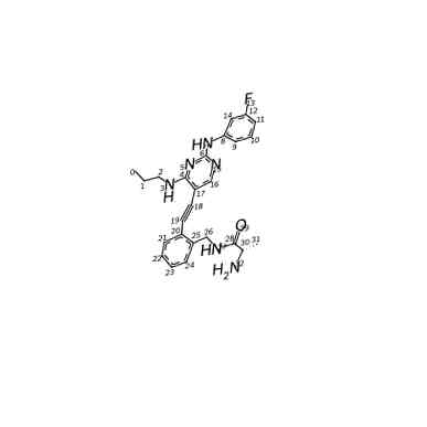 CCCNc1nc(Nc2cccc(F)c2)ncc1C#Cc1ccccc1CNC(=O)[C@H](C)N